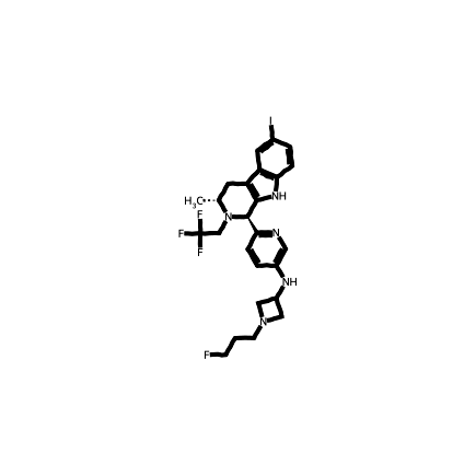 C[C@@H]1Cc2c([nH]c3ccc(I)cc23)[C@@H](c2ccc(NC3CN(CCCF)C3)cn2)N1CC(F)(F)F